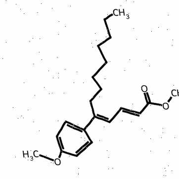 CCCCCCCC/C(=C\C=C\C(=O)OC)c1ccc(OC)cc1